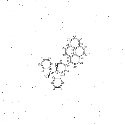 O=P(c1ccccc1)(c1ccccc1)c1ccc(-c2ccc3ccc4cccc5ccc2c3c45)cn1